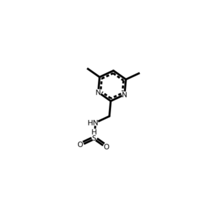 Cc1cc(C)nc(CN[SH](=O)=O)n1